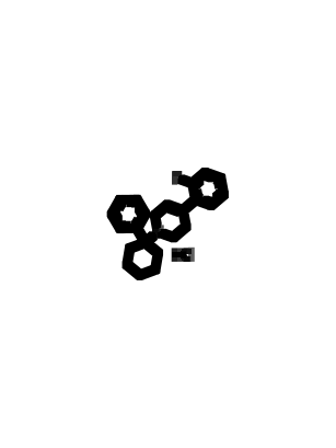 Cl.Fc1ccccc1C1=CCN(C2(c3ccccc3)CCCCC2)CC1